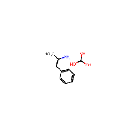 NC(Cc1ccccc1)C(=O)O.OB(O)O